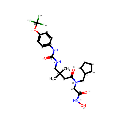 CC(C)(CNC(=O)Nc1ccc(OC(F)(F)F)cc1)CC(=O)N(CC(=O)NO)CC1CCCC1